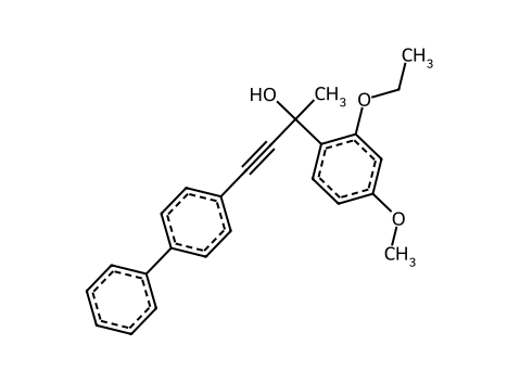 CCOc1cc(OC)ccc1C(C)(O)C#Cc1ccc(-c2ccccc2)cc1